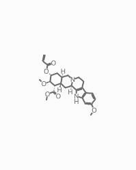 C=CC(=O)O[C@@H]1C[C@H]2CN3CCc4c([nH]c5cc(OC)ccc45)[C@H]3C[C@@H]2[C@H](C(=O)OC)[C@H]1OC